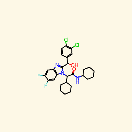 O=C(NC1CCCCC1)C(C1CCCCC1)n1c(C(O)c2ccc(Cl)c(Cl)c2)nc2cc(F)c(F)cc21